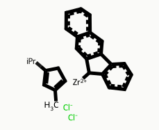 CC1=CCC(C(C)C)=C1.[Cl-].[Cl-].[Zr+2][CH]1c2ccccc2-c2cc3ccccc3cc21